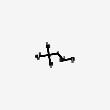 CCPCC(P)(CC)CC